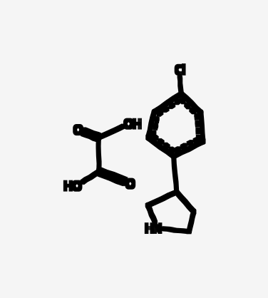 Clc1ccc(C2CCNC2)cc1.O=C(O)C(=O)O